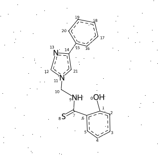 Oc1ccccc1C(=S)NCn1cnc(-c2ccccc2)c1